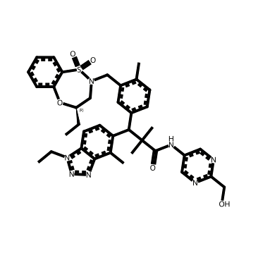 CC[C@@H]1CN(Cc2cc(C(c3ccc4c(nnn4CC)c3C)C(C)(C)C(=O)Nc3cnc(CO)nc3)ccc2C)S(=O)(=O)c2ccccc2O1